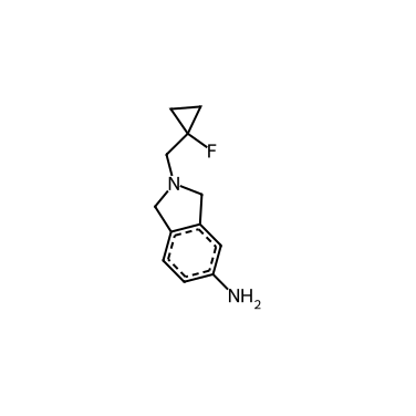 Nc1ccc2c(c1)CN(CC1(F)CC1)C2